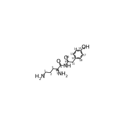 NCCC[C@H](N)C(=O)NC(=O)Cc1ccc(O)cc1